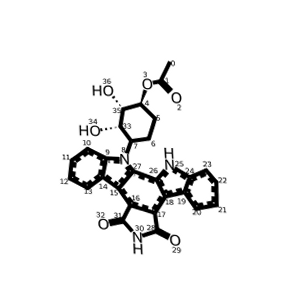 CC(=O)O[C@H]1CCC(n2c3ccccc3c3c4c(c5c6ccccc6[nH]c5c32)C(=O)NC4=O)[C@H](O)[C@@H]1O